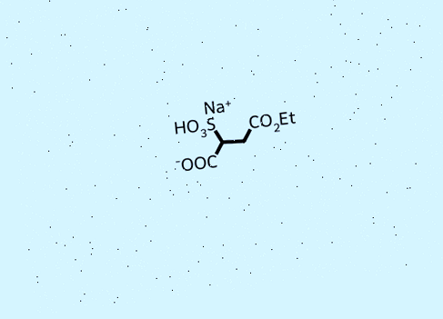 CCOC(=O)CC(C(=O)[O-])S(=O)(=O)O.[Na+]